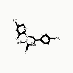 Cc1ccc(C(COc2ncc(Br)cc2Br)NC(=O)OC(C)(C)C)cc1